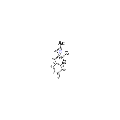 CC(=O)/C=C/c1cc2ccc(C)cc2oc1=O